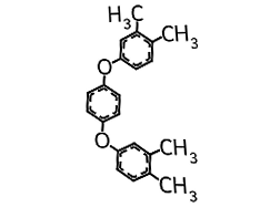 Cc1ccc(Oc2ccc(Oc3ccc(C)c(C)c3)cc2)cc1C